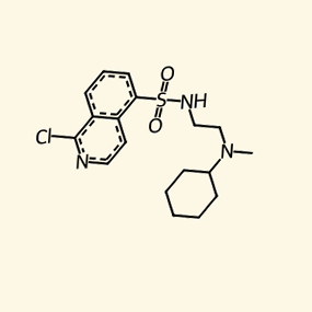 CN(CCNS(=O)(=O)c1cccc2c(Cl)nccc12)C1CCCCC1